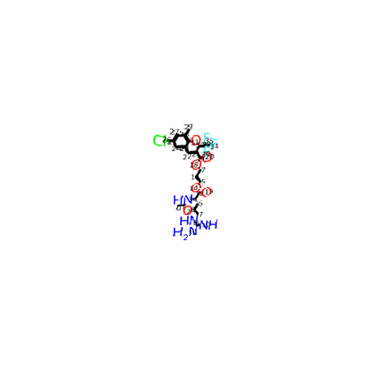 CC(=O)N[C@@H](CCCNC(=N)N)C(=O)OCCCOC(=O)C1=Cc2cc(Cl)cc(C)c2OC1C(F)(F)F